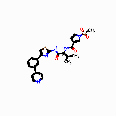 CC(C)[C@H](NC(=O)c1ccn(S(C)(=O)=O)c1)C(=O)Nc1nc(-c2cccc(-c3ccncc3)c2)cs1